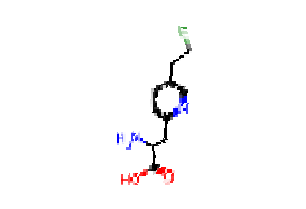 NC(Cc1ccc(CCF)cn1)C(=O)O